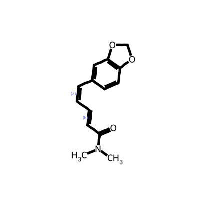 CN(C)C(=O)/C=C/C=C\c1ccc2c(c1)OCO2